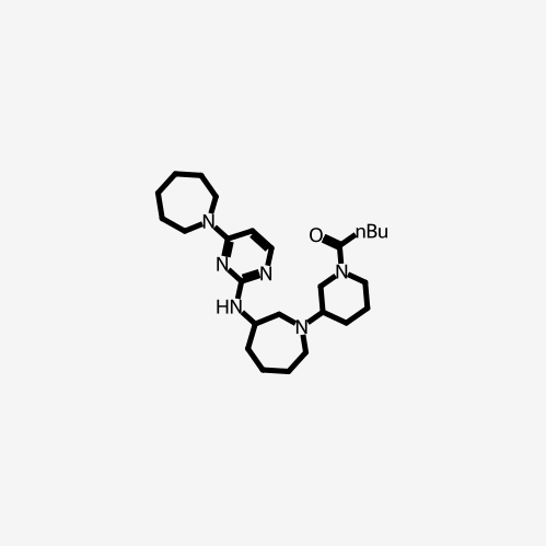 CCCCC(=O)N1CCCC(N2CCCCC(Nc3nccc(N4CCCCCC4)n3)C2)C1